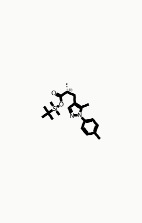 Cc1ccc(-n2ncc(C[C@@H](C)C(=O)O[Si](C)(C)C(C)(C)C)c2C)cc1